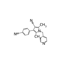 Cc1c(C#N)c(-c2ccc(C#N)cc2)c(C)n1Cc1ccncc1